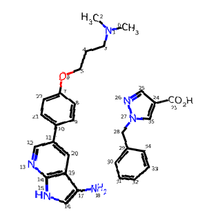 CN(C)CCCOc1ccc(-c2cnc3[nH]cc(N)c3c2)cc1.O=C(O)c1cnn(Cc2ccccc2)c1